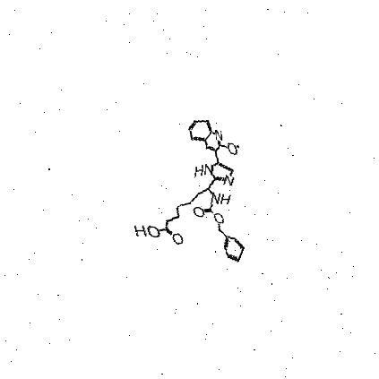 COc1nc2ccccc2cc1-c1cnc(C(CCCCCC(=O)O)NC(=O)OCc2ccccc2)[nH]1